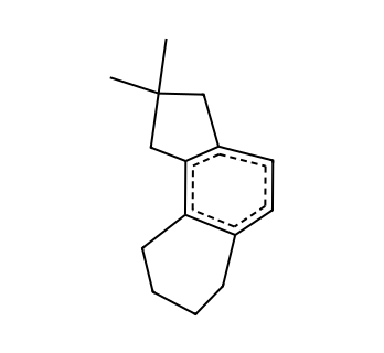 CC1(C)Cc2ccc3c(c2C1)CCCC3